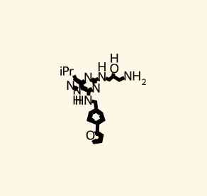 CC(C)c1n[nH]c2c(NCc3ccc(-c4ccco4)cc3)nc(NCC(O)CN)nc12